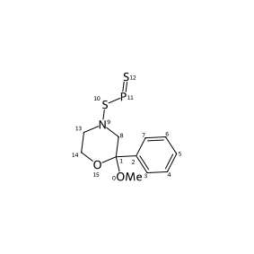 COC1(c2ccccc2)CN(SP=S)CCO1